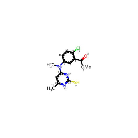 COC(=O)c1cc(N(C)c2cc(C)nc(S)n2)ccc1Cl